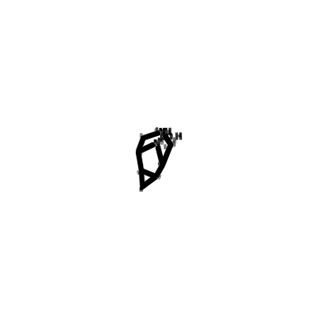 O=C(O)N1C2CNCC1C1CC12